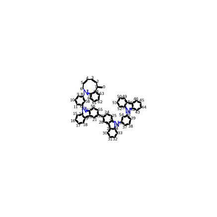 C=C1/C=C\C=C/CN(c2cccc(-n3c4ccccc4c4cc(-c5ccc6c(c5)c5ccccc5n6-c5cccc(-n6c7ccccc7c7ccccc76)c5)ccc43)c2)c2ccccc21